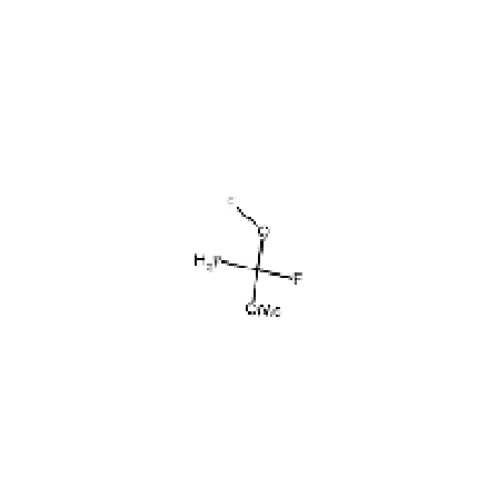 COC(F)(P)OF